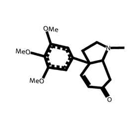 COc1cc(C23C=CC(=O)CC2N(C)CC3)cc(OC)c1OC